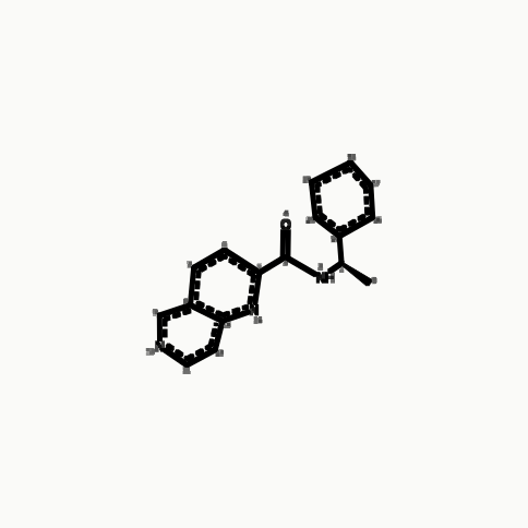 C[C@@H](NC(=O)c1ccc2cnccc2n1)c1ccccc1